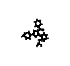 Cc1ccc(C2=CC(C(=O)C3CCCCC3)C(c3ccccc3CC(C)C)C2)cc1